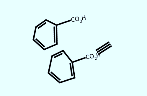 C#C.O=C(O)c1ccccc1.O=C(O)c1ccccc1